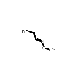 CCCCC=NOCCC